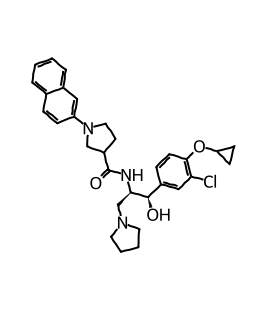 O=C(N[C@H](CN1CCCC1)[C@H](O)c1ccc(OC2CC2)c(Cl)c1)C1CCN(c2ccc3ccccc3c2)C1